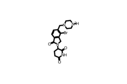 [2H]N1CCN(Cc2ccc3c(c2Br)CN(C2CCC(=O)NC2=O)C3=O)CC1